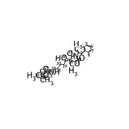 C[C@@H]1C(c2ccccc2)OC(=O)N1C(=O)[C@H](C)[C@@H](O)CCCCNC(=O)OC(C)(C)C